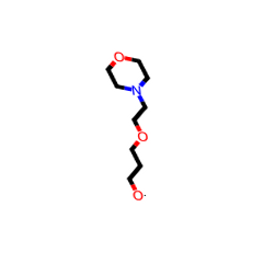 [O]CCCOCCN1CCOCC1